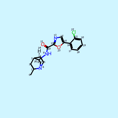 CC1CC2CCN1C[C@@H]2NC(=O)c1ncc(-c2ccccc2Cl)o1